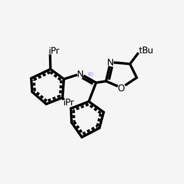 CC(C)c1cccc(C(C)C)c1/N=C(/C1=NC(C(C)(C)C)CO1)c1ccccc1